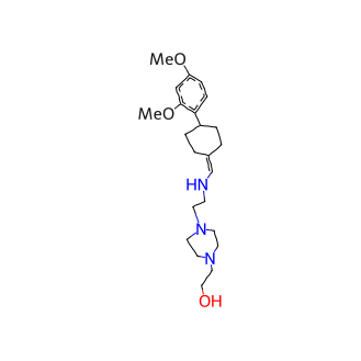 COc1ccc(C2CCC(=CNCCN3CCN(CCO)CC3)CC2)c(OC)c1